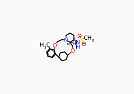 Cc1cccc2c1OCCN1CCC[C@H](NS(C)(=O)=O)[C@@H]1COC1CCC2CC1